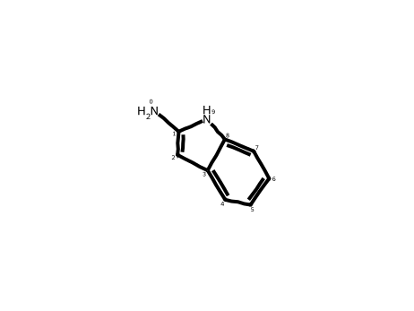 Nc1[c]c2ccccc2[nH]1